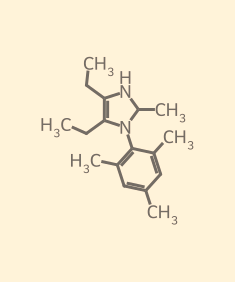 CCC1=C(CC)N(c2c(C)cc(C)cc2C)C(C)N1